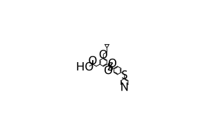 O=C(O)Cc1cc(OCC2CC2)cc(S(=O)(=O)c2ccc(Sc3ccncc3)cc2)c1